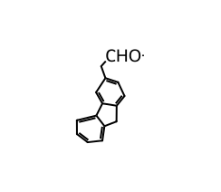 O=[C]Cc1ccc2c(c1)-c1ccccc1C2